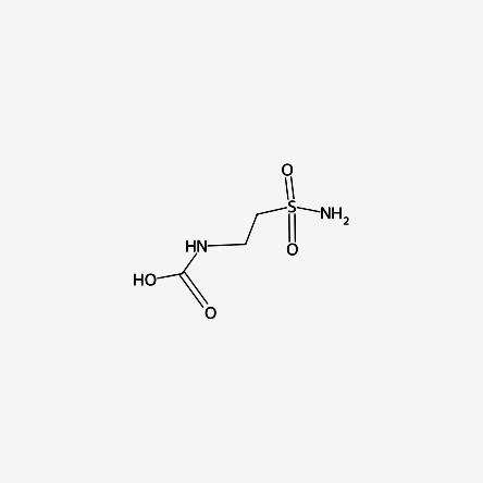 NS(=O)(=O)CCNC(=O)O